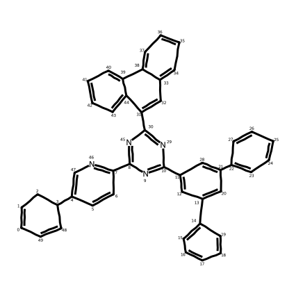 C1=CCC(c2ccc(-c3nc(-c4cc(-c5ccccc5)cc(-c5ccccc5)c4)nc(-c4cc5ccccc5c5ccccc45)n3)nc2)C=C1